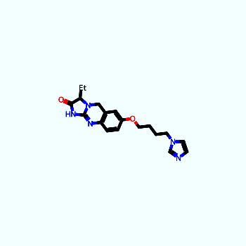 CCC1C(=O)NC2=Nc3ccc(OCCCCn4ccnc4)cc3CN21